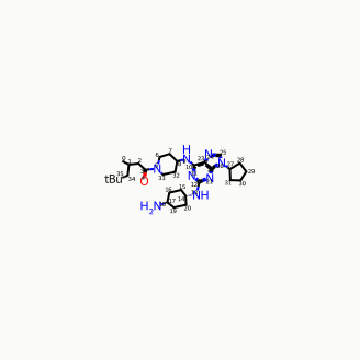 CC(CC(=O)N1CCC(Nc2nc(N[C@H]3CC[C@H](N)CC3)nc3c2ncn3C2CCCC2)CC1)CC(C)(C)C